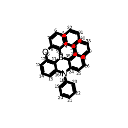 c1ccc(-c2cccc3c2B2c4c(cccc4N(c4ccccc4)c4cccc(-c5ccccc5)c42)O3)cc1